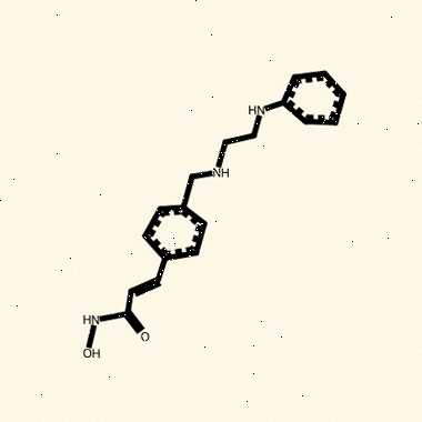 O=C(/C=C/c1ccc(CNCCNc2ccccc2)cc1)NO